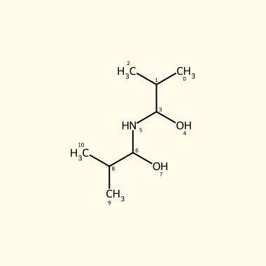 CC(C)C(O)NC(O)C(C)C